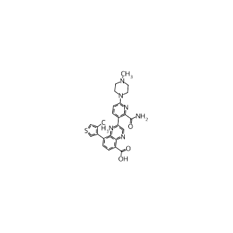 Cc1cscc1-c1ccc(C(=O)O)c2ncc(-c3ccc(N4CCN(C)CC4)nc3C(N)=O)nc12